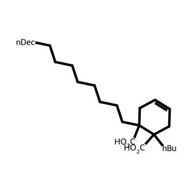 CCCCCCCCCCCCCCCCCCC1(C(=O)O)CC=CCC1(CCCC)C(=O)O